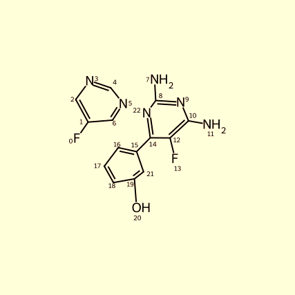 Fc1cncnc1.Nc1nc(N)c(F)c(-c2cccc(O)c2)n1